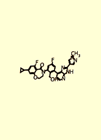 Cn1cc(-c2nc3c(-c4cc(F)cc(N5CCOc6cc(C7CC7)cc(F)c6C5=O)c4CO)ccnc3[nH]2)cn1